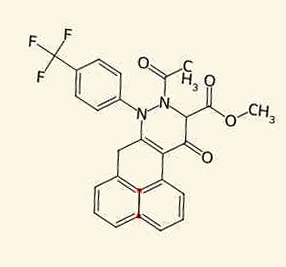 COC(=O)C1C(=O)C(c2ccccc2)=C(Cc2ccccc2)N(c2ccc(C(F)(F)F)cc2)N1C(C)=O